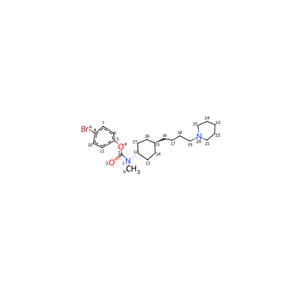 CN(C(=O)Oc1ccc(Br)cc1)[C@H]1CC[C@H](CCCCN2CCCCC2)CC1